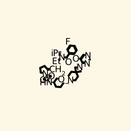 C=C1CCCN1S(=O)(=O)N[C@@H]1CC[C@@H](CN2CCC3(CC2)CN(c2ncncc2Oc2ccc(F)cc2C(=O)N(CC)C(C)C)C3)OC1